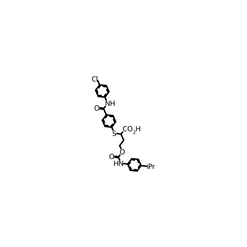 CC(C)c1ccc(NC(=O)OCCC(Sc2ccc(C(=O)Nc3ccc(Cl)cc3)cc2)C(=O)O)cc1